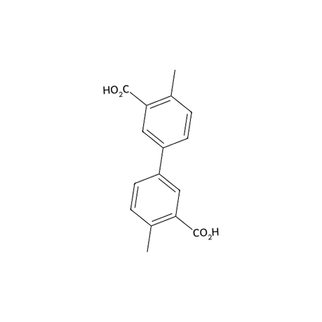 Cc1ccc(-c2ccc(C)c(C(=O)O)c2)cc1C(=O)O